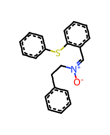 [O-]/[N+](=C/c1ccccc1Sc1ccccc1)CCc1ccccc1